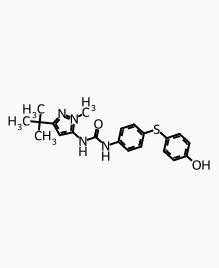 Cn1nc(C(C)(C)C)cc1NC(=O)Nc1ccc(Sc2ccc(O)cc2)cc1